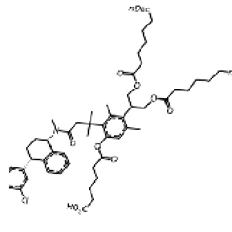 CCCCCCCCCCCCCCCC(=O)OCC(COC(=O)CCCCCCCCCCCCCCC)c1c(C)cc(OC(=O)CCCCC(=O)O)c(C(C)(C)CC(=O)N(C)[C@H]2CC[C@@H](c3ccc(Cl)c(Cl)c3)c3ccccc32)c1C